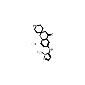 Cl.Cn1nccc1Nc1ccc2c(c1)C(=O)CC1(CCNCC1)O2